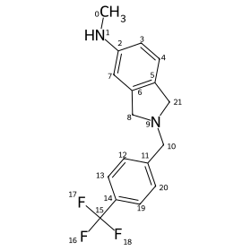 CNc1ccc2c(c1)CN(Cc1ccc(C(F)(F)F)cc1)C2